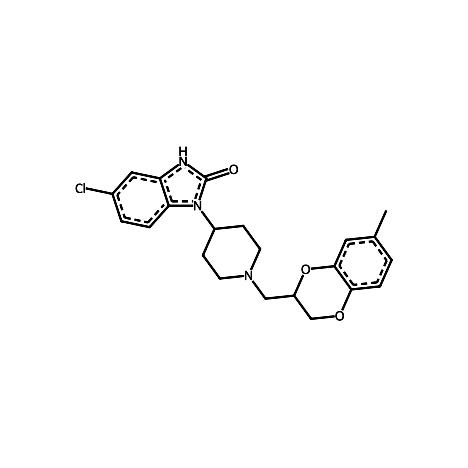 Cc1ccc2c(c1)OC(CN1CCC(n3c(=O)[nH]c4cc(Cl)ccc43)CC1)CO2